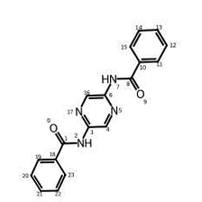 O=C(Nc1cnc(NC(=O)c2ccccc2)cn1)c1ccccc1